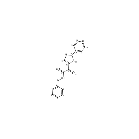 O=C(OCc1ccccc1)C(=O)c1ccc(-c2ccccc2)s1